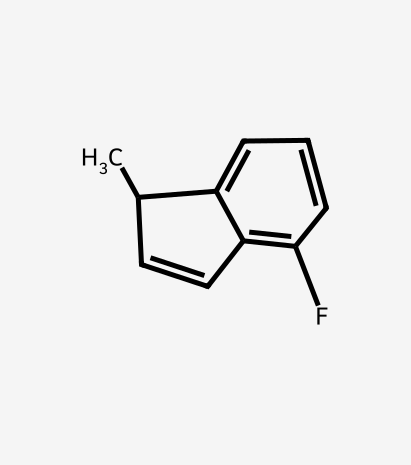 CC1C=Cc2c(F)cccc21